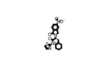 O=C(Nc1nccs1)[C@H](CC1CCCCC1)N1Cc2cc([N+](=O)[O-])ccc2C1=O